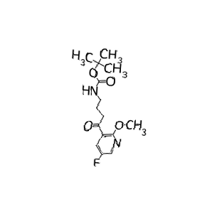 COc1ncc(F)cc1C(=O)CCCNC(=O)OC(C)(C)C